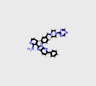 Nc1ncccc1-c1nc2ccc(-c3ccccc3)nc2n1-c1ccc(CN2CCN(c3ncncn3)CC2)cc1